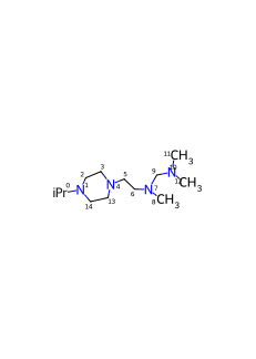 CC(C)N1CCN(CCN(C)CN(C)C)CC1